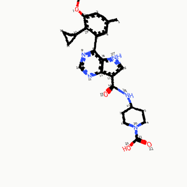 COc1cc(C)cc(-c2ncnc3c(C(=O)NC4CCN(C(=O)O)CC4)c[nH]c23)c1C1CC1